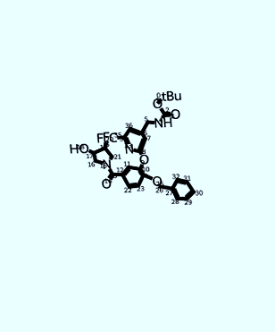 CC(C)(C)OC(=O)NCc1cc(Oc2cc(C(=O)N3CC(O)C(F)C3)ccc2OCc2ccccc2)nc(C(F)(F)F)c1